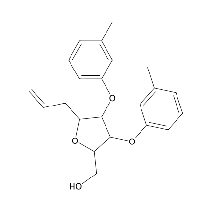 C=CCC1OC(CO)C(Oc2cccc(C)c2)C1Oc1cccc(C)c1